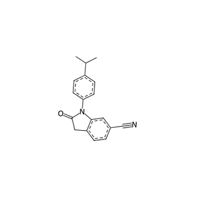 CC(C)c1ccc(N2C(=O)Cc3ccc(C#N)cc32)cc1